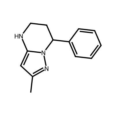 Cc1cc2n(n1)C(c1ccccc1)CCN2